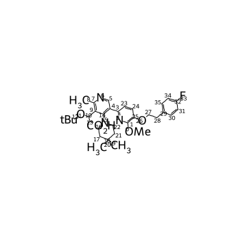 COc1nc(-c2cnc(C)c(C(OC(C)(C)C)C(=O)O)c2N2CCC(C)(C)CC2)ccc1OCCc1ccc(F)cc1